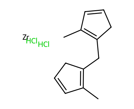 CC1=C(CC2=C(C)C=CC2)CC=C1.Cl.Cl.[Zr]